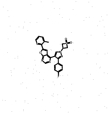 Cc1cccnc1-c1cc2c(-c3cn(C4CS(=O)(=O)C4)nc3-c3ccc(F)cc3)ncnc2o1